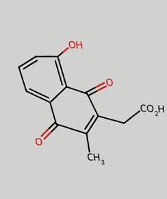 CC1=C(CC(=O)O)C(=O)c2c(O)cccc2C1=O